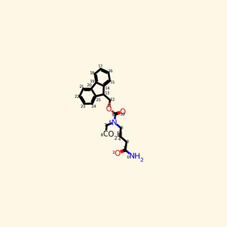 NC(=O)CCCN(CC(=O)O)C(=O)OCC1c2ccccc2-c2ccccc21